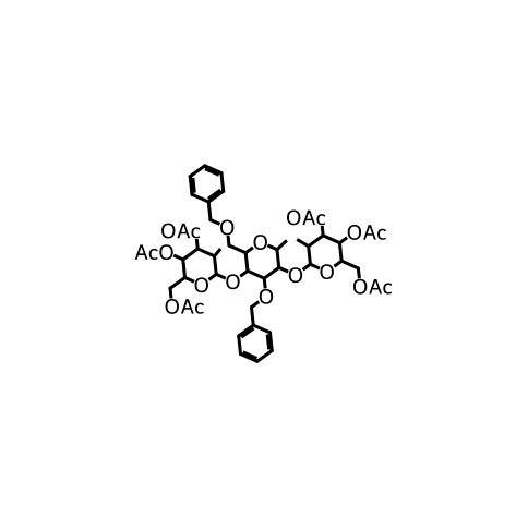 CC(=O)OCC1OC(OC2C(C)OC(COCc3ccccc3)C(OC3OC(COC(C)=O)C(OC(C)=O)C(OC(C)=O)C3C)C2OCc2ccccc2)C(C)C(OC(C)=O)C1OC(C)=O